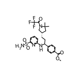 COC(=O)c1ccc(C(CC[C@@H]2CN(C(=O)C(F)(F)F)C(C)(C)C2)Nc2cccc(S(N)(=O)=O)n2)cc1